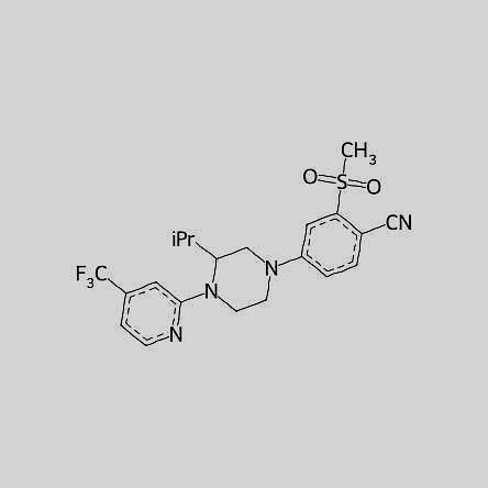 CC(C)C1CN(c2ccc(C#N)c(S(C)(=O)=O)c2)CCN1c1cc(C(F)(F)F)ccn1